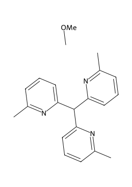 COC.Cc1cccc(C(c2cccc(C)n2)c2cccc(C)n2)n1